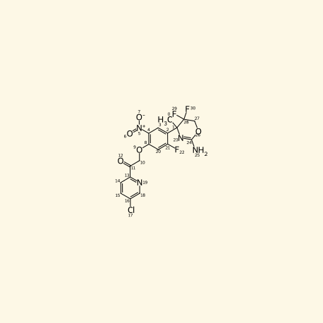 CC1(c2cc([N+](=O)[O-])c(OCC(=O)c3ccc(Cl)cn3)cc2F)N=C(N)OCC1(F)F